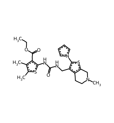 CCOC(=O)c1c(NC(=O)NCc2c(-n3cccc3)sc3c2CCN(C)C3)sc(C)c1C